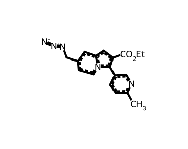 CCOC(=O)c1cc2cc(CN=[N+]=[N-])ccn2c1-c1ccc(C)nc1